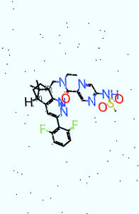 CCN(C[C@@]12CC[C@@H](c3cc(-c4c(F)cccc4F)nnc31)C2(C)C)C(=O)c1cnc(NS(C)(=O)=O)cn1